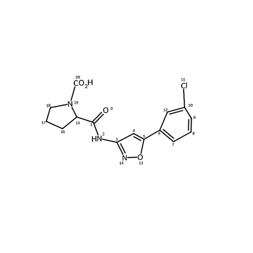 O=C(Nc1cc(-c2cccc(Cl)c2)on1)C1CCCN1C(=O)O